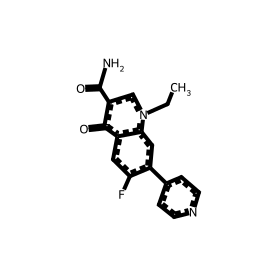 CCn1cc(C(N)=O)c(=O)c2cc(F)c(-c3ccncc3)cc21